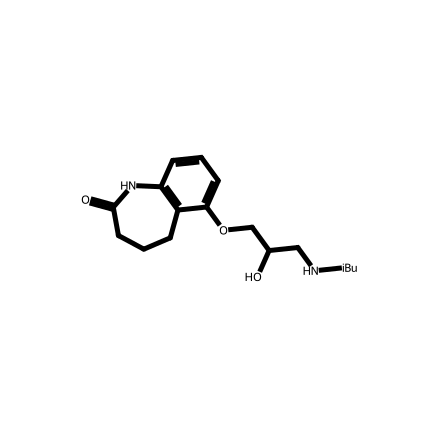 CCC(C)NCC(O)COc1cccc2c1CCCC(=O)N2